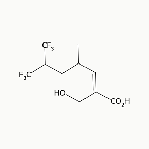 CC(C=C(CO)C(=O)O)CC(C(F)(F)F)C(F)(F)F